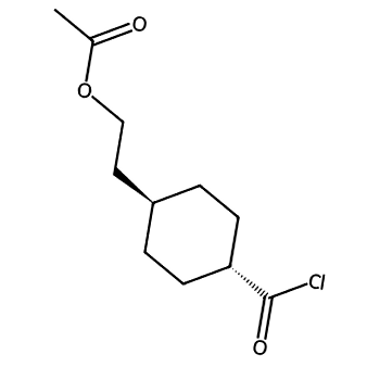 CC(=O)OCC[C@H]1CC[C@H](C(=O)Cl)CC1